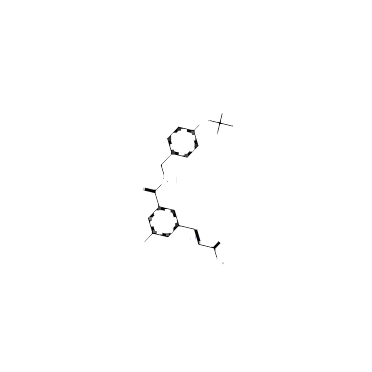 O=C(O)/C=C/c1cc(Br)cc(C(=O)NCc2ccc(OC(F)(F)F)cc2)c1